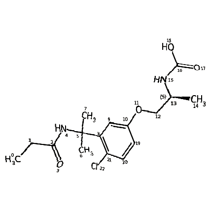 CCC(=O)NC(C)(C)c1cc(OC[C@H](C)NC(=O)O)ccc1Cl